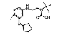 Cc1ccc(NCCN(C(=O)O)C(C)(C)C)cc1OC1CCCC1